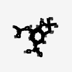 CC(=O)Oc1cc([N+](=O)[O-])cc2c1OC(C)(C)C2